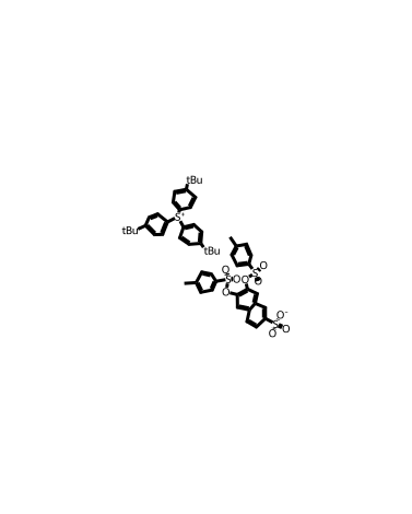 CC(C)(C)c1ccc([S+](c2ccc(C(C)(C)C)cc2)c2ccc(C(C)(C)C)cc2)cc1.Cc1ccc(S(=O)(=O)Oc2cc3ccc(S(=O)(=O)[O-])cc3cc2OS(=O)(=O)c2ccc(C)cc2)cc1